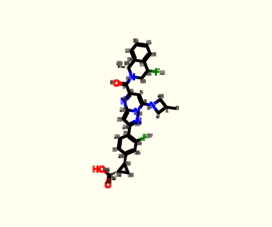 CC1CN(c2cc(C(=O)N3C[C@H](F)c4ccccc4[C@H]3C)nc3cc(-c4ccc([C@H]5C[C@@H]5C(=O)O)cc4F)nn23)C1